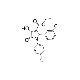 CCOC(=O)C1=C(O)C(=O)N(c2ccc(Cl)cc2)C1c1cccc(Cl)c1